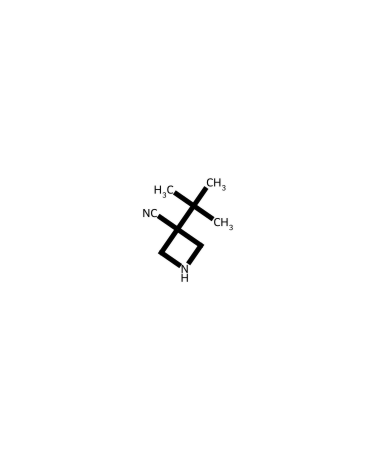 CC(C)(C)C1(C#N)CNC1